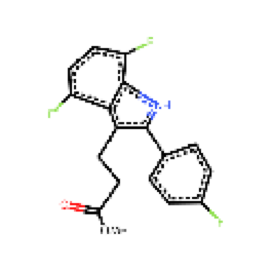 COC(=O)CCc1c(-c2ccc(F)cc2)[nH]c2c(F)ccc(F)c12